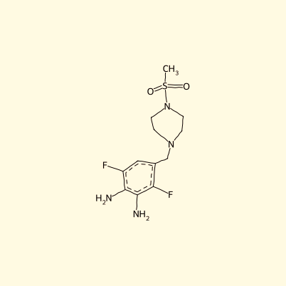 CS(=O)(=O)N1CCN(Cc2cc(F)c(N)c(N)c2F)CC1